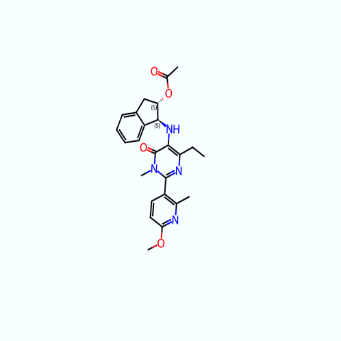 CCc1nc(-c2ccc(OC)nc2C)n(C)c(=O)c1N[C@H]1c2ccccc2C[C@@H]1OC(C)=O